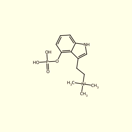 C[N+](C)(C)CCc1c[nH]c2cccc(OP(=O)(O)O)c12